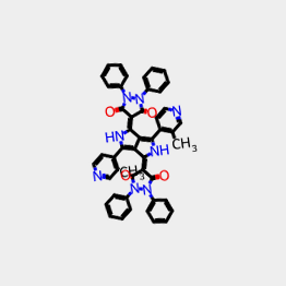 Cc1cnccc1-c1[nH]c(=C2C(=O)N(c3ccccc3)N(c3ccccc3)C2=O)c2c(-c3ccncc3C)[nH]c(=C3C(=O)N(c4ccccc4)N(c4ccccc4)C3=O)c12